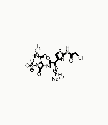 CNC(=O)[C@H]1[C@@H](NC(=O)C(=NOC)c2csc(NC(=O)CCl)n2)C(=O)N1S(=O)(=O)[O-].[Na+]